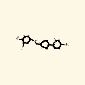 CCCCc1ccc(-c2ccc(COc3ccc(C#N)c(F)c3)cc2)nc1